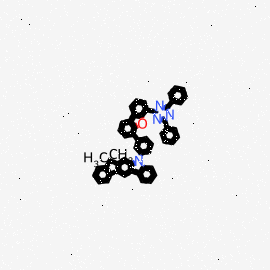 CC1(C)c2ccccc2-c2cc3c4ccccc4n(-c4cccc(-c5cccc6c5oc5c(-c7nc(-c8ccccc8)nc(-c8ccccc8)n7)cccc56)c4)c3cc21